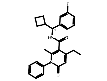 CCc1cc(=O)n(-c2ccccc2)c(C)c1C(=O)N[C@H](c1cccc(F)c1)C1CCC1